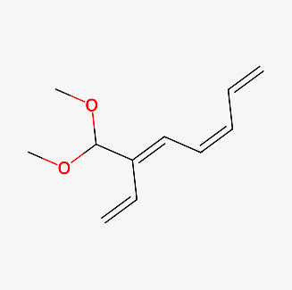 C=C/C=C\C=C(/C=C)C(OC)OC